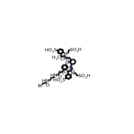 CC1(C)C(/C=C/C2=C(Oc3ccc(CCC(=O)NCCCNC(=O)CBr)cc3)C(=C/C=C3/N(CCS(=O)(=O)O)c4ccc(S(=O)(=O)O)cc4C3(C)C)/CCC2)=[N+](CCS(=O)(=O)O)c2ccc(S(=O)(=O)O)cc21